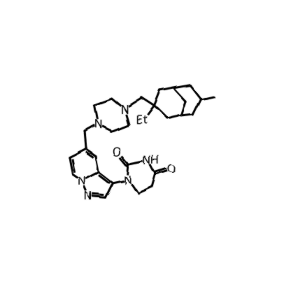 CCC1(CN2CCN(Cc3ccn4ncc(N5CCC(=O)NC5=O)c4c3)CC2)CC2CC(C)CC(C2)C1